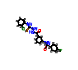 O=C(NNC(=S)Nc1ccccc1Cl)c1cccc(NC(=O)c2ccc(F)cc2)c1